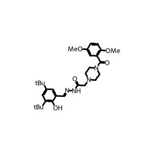 COc1ccc(OC)c(C(=O)N2CCN(CC(=O)N/N=C/c3cc(C(C)(C)C)cc(C(C)(C)C)c3O)CC2)c1